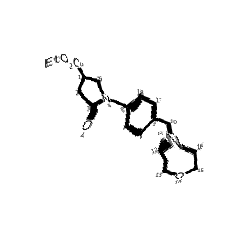 CCOC(=O)C1CC(=O)N(c2ccc(CN3CCOCC3)cc2)C1